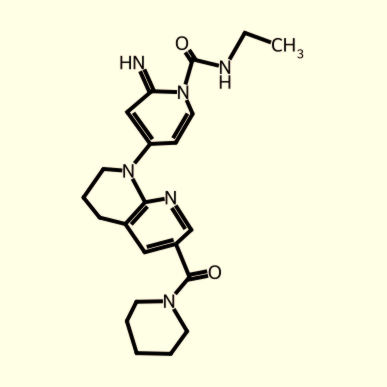 CCNC(=O)n1ccc(N2CCCc3cc(C(=O)N4CCCCC4)cnc32)cc1=N